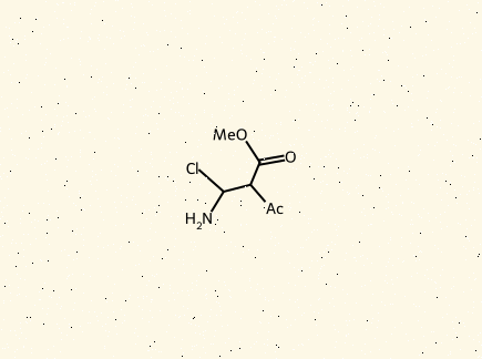 COC(=O)C(C(C)=O)C(N)Cl